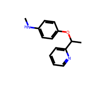 CNc1ccc(OC(C)c2ccccn2)cc1